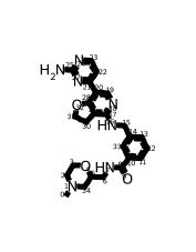 CN1CCOC(CNC(=O)c2cccc(CNc3ncc(-c4ccnc(N)n4)c4c3CCO4)c2)C1